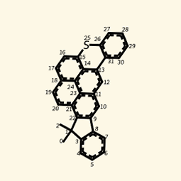 CC1(C)c2ccccc2-c2cc3cc4c5c(ccc6ccc(c21)c3c65)Sc1ccccc1-4